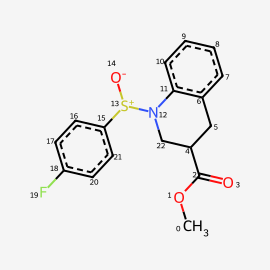 COC(=O)C1Cc2ccccc2N([S+]([O-])c2ccc(F)cc2)C1